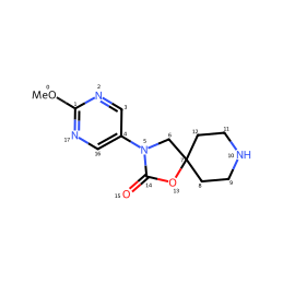 COc1ncc(N2CC3(CCNCC3)OC2=O)cn1